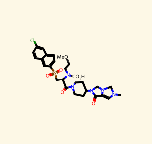 COCCN(C(=O)O)[C@H](CS(=O)(=O)c1ccc2cc(Cl)ccc2c1)C(=O)N1CCC(N2CN3CN(C)C=C3C2=O)CC1